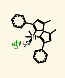 CC1=CC(c2ccccc2)=[C]([Hf]([CH3])([CH3])(=[SiH2])[C]2=C(c3ccccc3)C=C(C)C2)C1.Cl.Cl